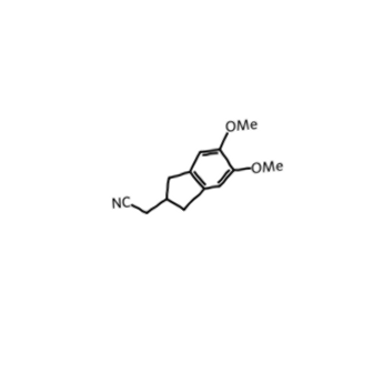 COc1cc2c(cc1OC)CC(CC#N)C2